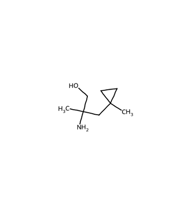 CC(N)(CO)CC1(C)CC1